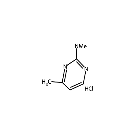 CNc1nccc(C)n1.Cl